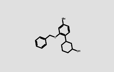 CC(C)(C)c1ccc(C2CCCC(O)C2)c(OCc2ccccc2)c1